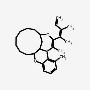 C=C/C(C)=C(/C)C1=C(C)B2c3c(C)cccc3OC3CCCCCCCC(CC23)O1